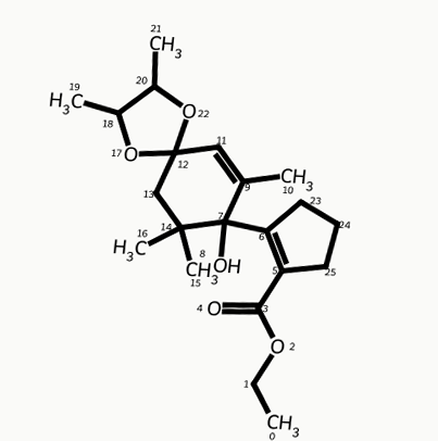 CCOC(=O)C1=C(C2(O)C(C)=CC3(CC2(C)C)OC(C)C(C)O3)CCC1